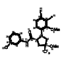 COc1c(N2C[C@@](OC)(C(F)(F)F)C[C@H]2C(=O)Nc2ccc[n+]([O-])c2)ccc(F)c1F